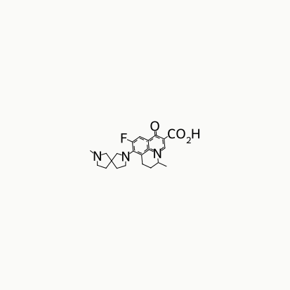 CC1CCc2c(N3CCC4(CCN(C)C4)C3)c(F)cc3c(=O)c(C(=O)O)cn1c23